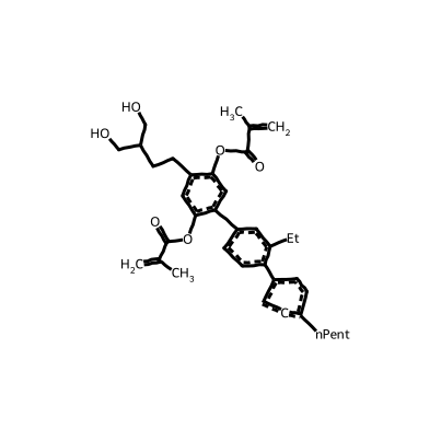 C=C(C)C(=O)Oc1cc(-c2ccc(-c3ccc(CCCCC)cc3)c(CC)c2)c(OC(=O)C(=C)C)cc1CCC(CO)CO